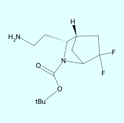 CC(C)(C)OC(=O)N1C2C[C@@H](CC2(F)F)[C@H]1CCN